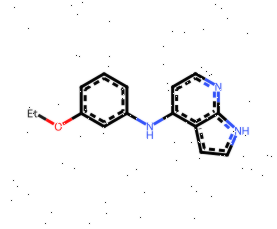 CCOc1cccc(Nc2ccnc3[nH]ccc23)c1